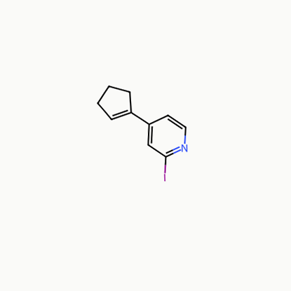 Ic1cc(C2=CCCC2)ccn1